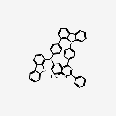 Cc1nc(-c2ccccc2)nc(-c2ccc(-n3c4ccccc4c4cccc(-c5ccc(N(c6ccccc6)c6cccc7c6sc6ccccc67)cc5)c43)cc2)n1